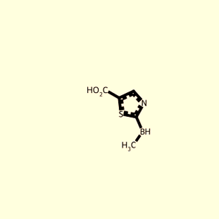 CBc1ncc(C(=O)O)s1